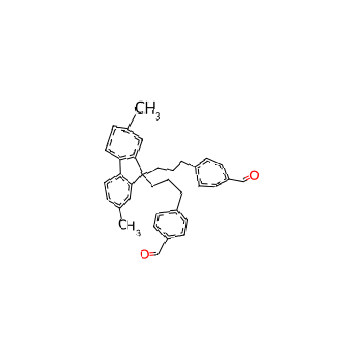 Cc1ccc2c(c1)C(CCCc1ccc(C=O)cc1)(CCCc1ccc(C=O)cc1)c1cc(C)ccc1-2